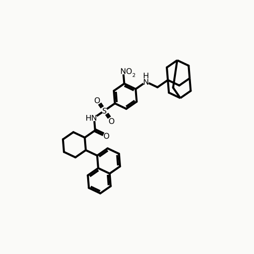 O=C(NS(=O)(=O)c1ccc(NCC23CC4CC(CC(C4)C2)C3)c([N+](=O)[O-])c1)C1CCCCC1c1cccc2ccccc12